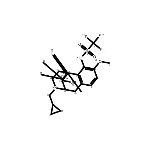 COc1ccc2c(c1OS(=O)(=O)C(F)(F)F)C13CCN(CC4CC4)C(C2)C1(O)CC(C)(C)C(=O)C3